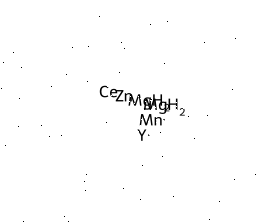 [Ce].[MgH2].[MgH2].[Mn].[Y].[Zn]